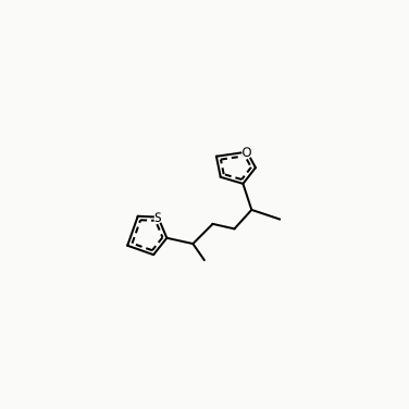 CC(CCC(C)c1cccs1)c1ccoc1